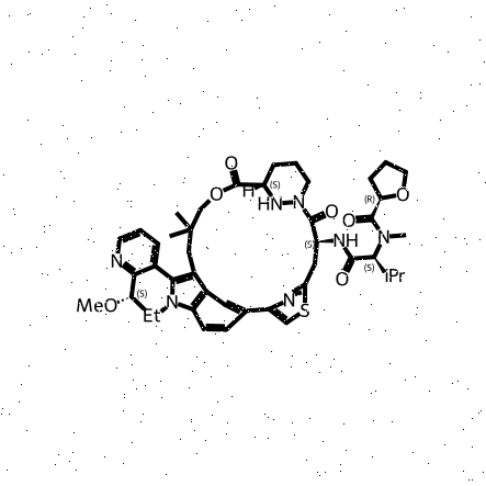 CCn1c(-c2cccnc2[C@H](C)OC)c2c3cc(ccc31)-c1csc(n1)C[C@H](NC(=O)[C@H](C(C)C)N(C)C(=O)[C@H]1CCCO1)C(=O)N1CCC[C@H](N1)C(=O)OCC(C)(C)C2